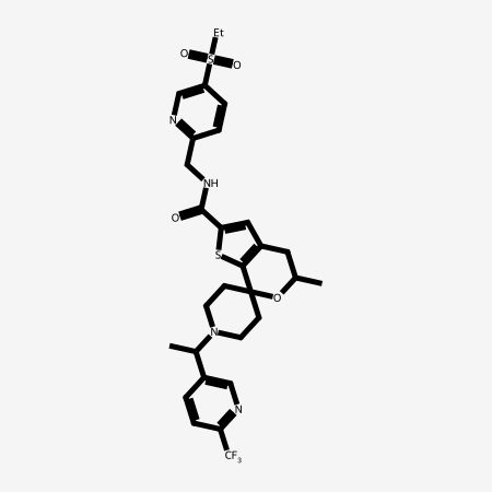 CCS(=O)(=O)c1ccc(CNC(=O)c2cc3c(s2)C2(CCN(C(C)c4ccc(C(F)(F)F)nc4)CC2)OC(C)C3)nc1